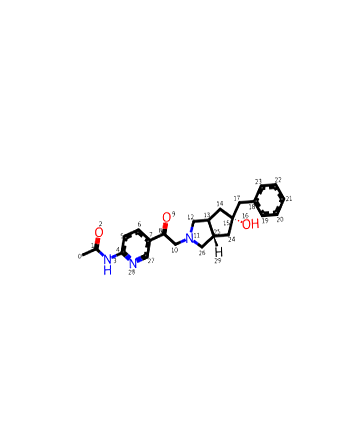 CC(=O)Nc1ccc(C(=O)CN2CC3C[C@@](O)(Cc4ccccc4)C[C@@H]3C2)cn1